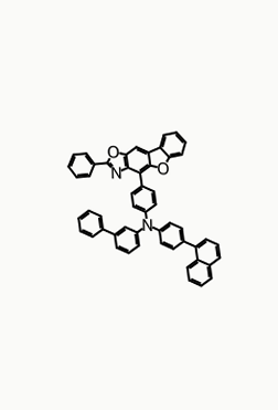 c1ccc(-c2cccc(N(c3ccc(-c4cccc5ccccc45)cc3)c3ccc(-c4c5nc(-c6ccccc6)oc5cc5c4oc4ccccc45)cc3)c2)cc1